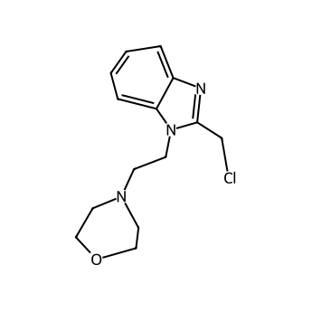 ClCc1nc2ccccc2n1CCN1CCOCC1